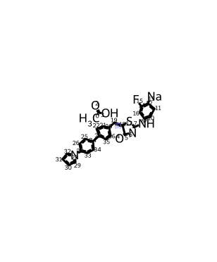 CC(=O)O.O=C1N=C(Nc2cc[c]([Na])c(F)c2)S/C1=C/c1ccc(-c2ccc(-n3cccc3)cc2)cc1